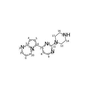 c1cnc2ccc(-c3ccnc(N4CCNCC4)n3)n2c1